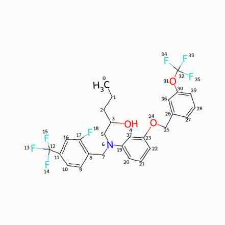 CCCC(O)CN(Cc1ccc(C(F)(F)F)cc1F)c1cccc(OCc2cccc(OC(F)(F)F)c2)c1